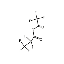 O=C(OC(=O)C(F)(F)C(F)(F)F)C(F)(F)F